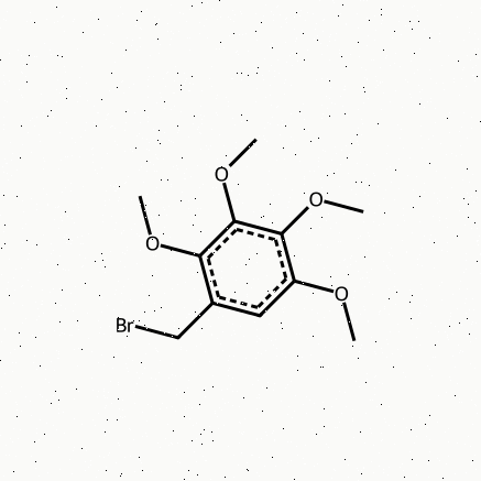 COc1cc(CBr)c(OC)c(OC)c1OC